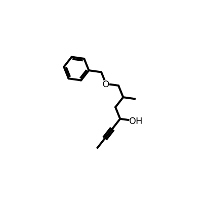 CC#CC(O)CC(C)COCc1ccccc1